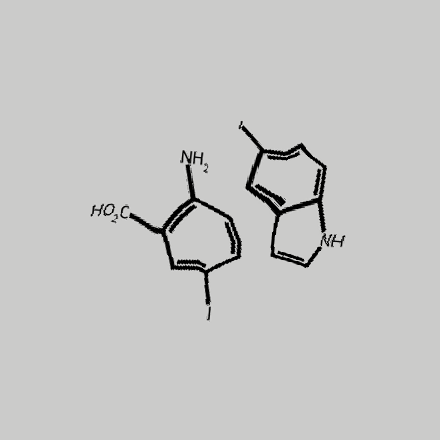 Ic1ccc2[nH]ccc2c1.Nc1ccc(I)cc1C(=O)O